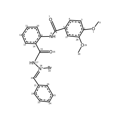 COc1ccc(C(=O)Nc2ccccc2C(=O)N[N+](Br)=Cc2ccccc2)cc1OC